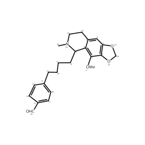 COc1c2c(cc3c1C(CCCCc1ccc(C=O)cc1)N(C)CC3)OCO2